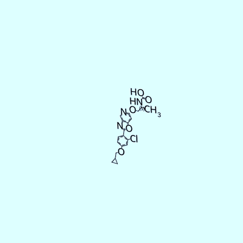 C[C@@H](COc1cc2oc(-c3ccc(OCC4CC4)cc3Cl)nc2cn1)NC(=O)O